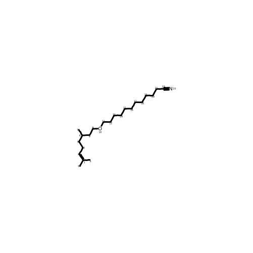 CC(C)=CCCC(C)CCOCCCCCCCCCCCC#N